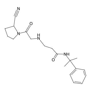 CC(C)(NC(=O)CCNCC(=O)N1CCCC1C#N)c1ccccc1